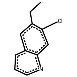 [CH2]Cc1cc2cccnc2cc1Cl